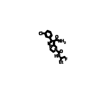 CCC(CF)NC(=O)N1CCn2nc(-c3cccc(Cl)c3)c(C(N)=O)c2C1